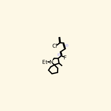 C=C(Cl)/C=C\C=C(/F)C1CN(CC)C2(CCCCC2)C1C